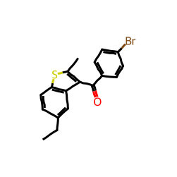 CCc1ccc2sc(C)c(C(=O)c3ccc(Br)cc3)c2c1